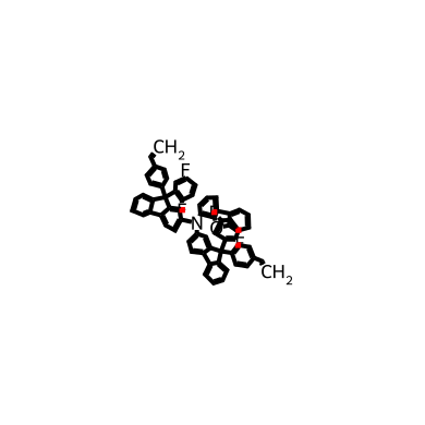 C=Cc1ccc(C2(c3cc(F)ccc3F)c3ccccc3-c3ccc(N(c4ccc5c(c4)C(c4ccc(C=C)cc4)(c4cc(F)ccc4F)c4ccccc4-5)c4cccc5c4oc4ccccc45)cc32)cc1